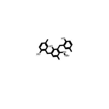 CCCCPc1c(C)cc(Cc2cc(C)ccc2O)c(O)c1Cc1cc(C)ccc1O